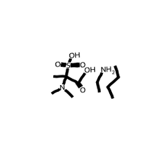 CCCC.CCN.CN(C)C(C)(C(=O)O)S(=O)(=O)O